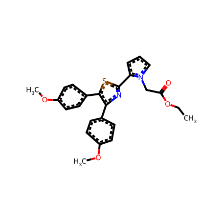 CCOC(=O)Cn1cccc1-c1nc(-c2ccc(OC)cc2)c(-c2ccc(OC)cc2)s1